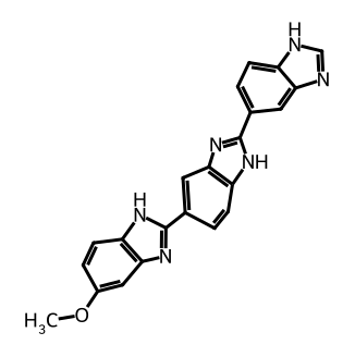 COc1ccc2[nH]c(-c3ccc4[nH]c(-c5ccc6[nH]cnc6c5)nc4c3)nc2c1